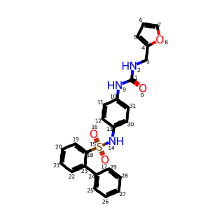 O=C(NCc1ccco1)Nc1ccc(NS(=O)(=O)c2ccccc2-c2ccccc2)cc1